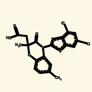 Cc1ccc2c(c1)N(c1nc3c(Cl)cc(Cl)cc3s1)C(=O)C(C)(CC(=O)O)O2